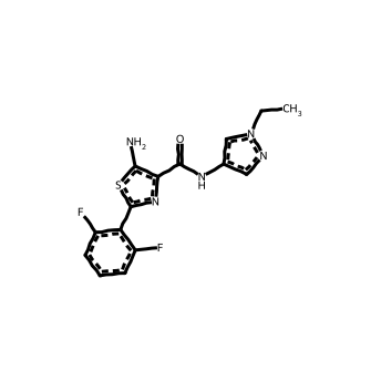 CCn1cc(NC(=O)c2nc(-c3c(F)cccc3F)sc2N)cn1